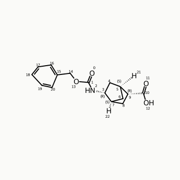 O=C(N[C@@H]1C[C@@H]2C[C@H]1C[C@H]2C(=O)O)OCc1ccccc1